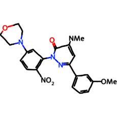 CNc1cc(-c2cccc(OC)c2)nn(-c2cc(N3CCOCC3)ccc2[N+](=O)[O-])c1=O